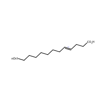 CCCCCCCCCCCCCCC/C=C/CCC(=O)O